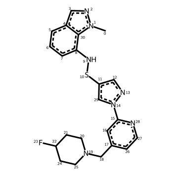 Cn1ncc2cccc(NSc3cnn(-c4cc(CN5CCC(F)CC5)ccn4)c3)c21